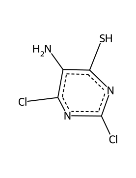 Nc1c(S)nc(Cl)nc1Cl